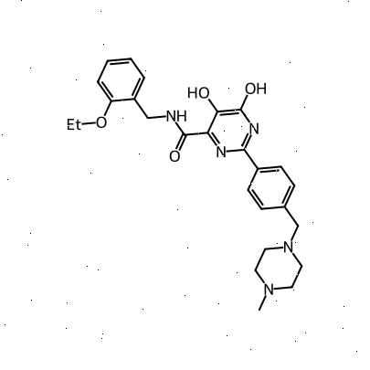 CCOc1ccccc1CNC(=O)c1nc(-c2ccc(CN3CCN(C)CC3)cc2)nc(O)c1O